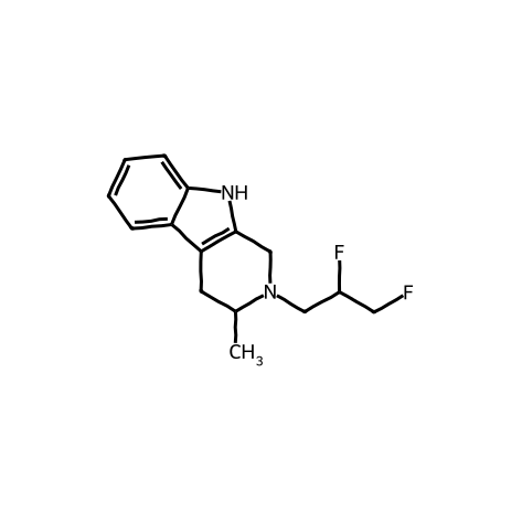 CC1Cc2c([nH]c3ccccc23)CN1CC(F)CF